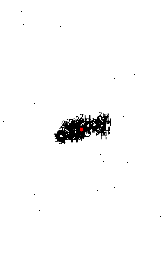 [2H]C([2H])([2H])Oc1cc2c(cc1OC([2H])([2H])[2H])C([2H])([2H])C(C([2H])([2H])C1([2H])C([2H])([2H])C([2H])([2H])N(Cc3ccccc3)C([2H])([2H])C1([2H])[2H])C2=O